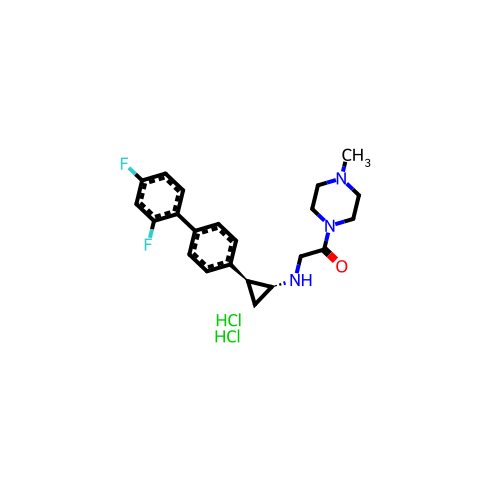 CN1CCN(C(=O)CN[C@@H]2C[C@H]2c2ccc(-c3ccc(F)cc3F)cc2)CC1.Cl.Cl